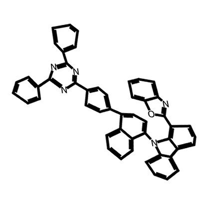 c1ccc(-c2nc(-c3ccccc3)nc(-c3ccc(-c4ccc(-n5c6ccccc6c6cccc(-c7nc8ccccc8o7)c65)c5ccccc45)cc3)n2)cc1